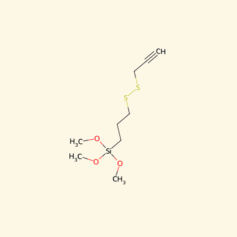 C#CCSSCCC[Si](OC)(OC)OC